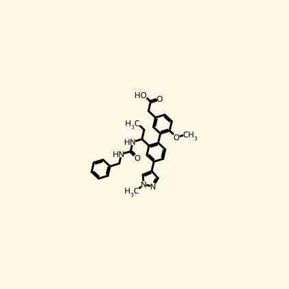 CCC(NC(=O)NCc1ccccc1)c1cc(-c2cnn(C)c2)ccc1-c1cc(CC(=O)O)ccc1OC